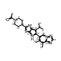 CC(=O)N1CCC(c2nc3c(C(C)C)c(-c4cn5ncnc5c(C)c4C)[nH]c3s2)CC1